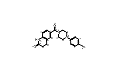 CC(=O)c1ccc(N2CCN(C(=O)c3ccc4c(c3)CCC(=O)N4)CC2)cc1